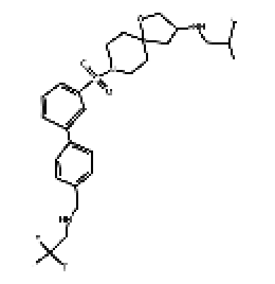 CC(O)CNC1COC2(CCN(S(=O)(=O)c3cccc(-c4ccc(CNCC(F)(F)F)cc4)c3)CC2)C1